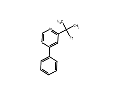 CCC(C)(C)c1cc(-c2ccccc2)ncn1